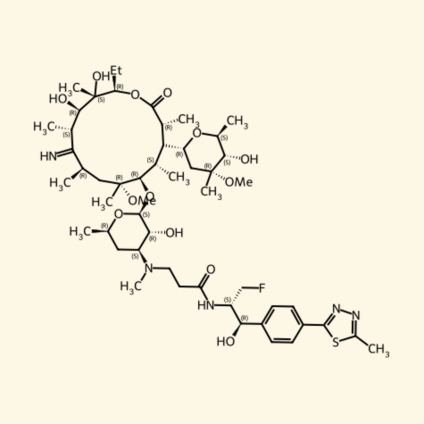 CC[C@H]1OC(=O)[C@H](C)C([C@H]2C[C@@](C)(OC)[C@@H](O)[C@H](C)O2)[C@H](C)[C@@H](O[C@@H]2O[C@H](C)C[C@H](N(C)CCC(=O)N[C@H](CF)[C@H](O)c3ccc(-c4nnc(C)s4)cc3)[C@H]2O)[C@](C)(OC)C[C@@H](C)C(=N)[C@H](C)[C@@H](O)[C@]1(C)O